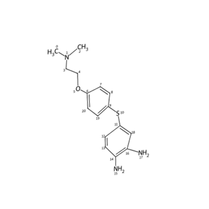 CN(C)CCOc1ccc(Sc2ccc(N)c(N)c2)cc1